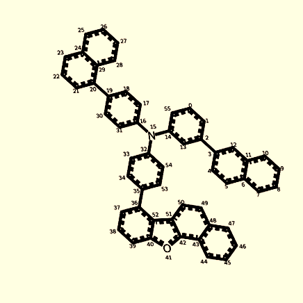 c1cc(-c2ccc3ccccc3c2)cc(N(c2ccc(-c3cccc4ccccc34)cc2)c2ccc(-c3cccc4oc5c6ccccc6ccc5c34)cc2)c1